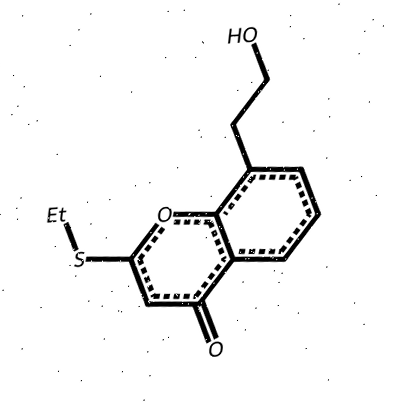 CCSc1cc(=O)c2cccc(CCO)c2o1